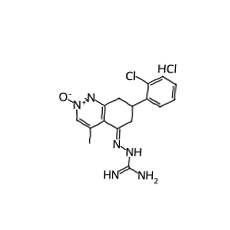 Cc1c[n+]([O-])nc2c1C(=NNC(=N)N)CC(c1ccccc1Cl)C2.Cl